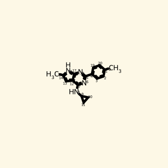 Cc1ccc(-c2nc(NC3CC3)c3cc(C)[nH]c3n2)cc1